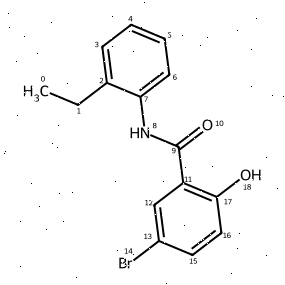 CCc1ccccc1NC(=O)c1cc(Br)ccc1O